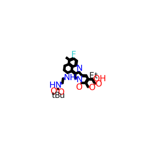 CC[C@@]1(O)C(=O)OCc2c1cc1n(c2=O)Cc2c-1nc1cc(F)c(C)c3c1c2[C@@H](NCCNC(=O)OC(C)(C)C)CC3